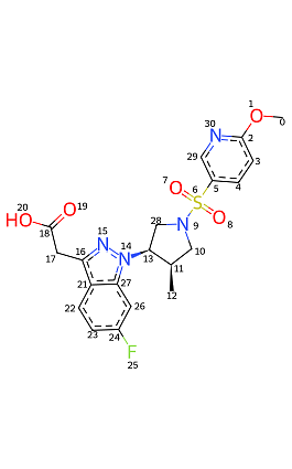 COc1ccc(S(=O)(=O)N2C[C@@H](C)[C@@H](n3nc(CC(=O)O)c4ccc(F)cc43)C2)cn1